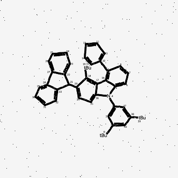 CC(C)(C)c1cc(-n2c3cccc(-c4ccccc4)c3c3c(C(C)(C)C)c(C4c5ccccc5-c5ccccc54)ccc32)cc(C(C)(C)C)c1